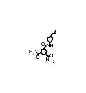 CC(C)CC1CCC(NC(=O)c2cc(C(N)=O)cc(C(N)=O)c2)CC1